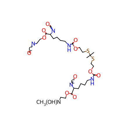 CN(O)CCOC(=O)C(CCCCNC(=O)OCCSC(C)(C)SCCOC(=O)NCCCCC(N=C=O)C(=O)OCCN=C=O)N=C=O